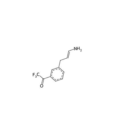 NC=CCc1cccc(C(=O)C(F)(F)F)c1